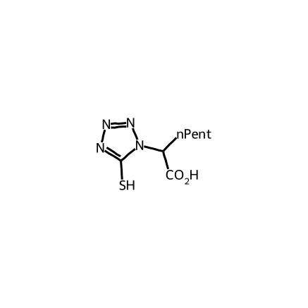 CCCCCC(C(=O)O)n1nnnc1S